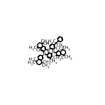 Cc1cc2c3c(c1)N(c1cc4c(cc1C)C(C)(C)CCC4(C)C)c1cc(C(C)(C)c4ccccc4)ccc1B3c1cc3c(cc1N2c1ccc2c(c1)C(C)(C)CCC2(C)C)C(C)(C)CCC3(C)C